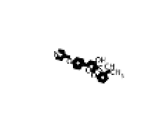 CC(C)c1ccccc1Sc1c(O)cc(-c2ccc(OCc3ccncc3)cc2)oc1=O